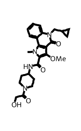 COc1c(C(=O)NC2CCN(C(=O)CO)CC2)n(C)c2c1c(=O)n(CC1CC1)c1ccccc21